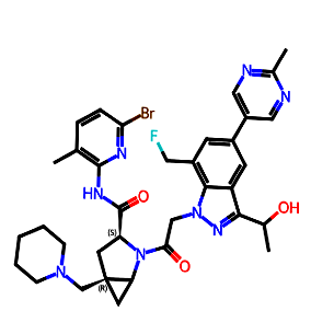 Cc1ncc(-c2cc(CF)c3c(c2)c(C(C)O)nn3CC(=O)N2C3C[C@]3(CN3CCCCC3)C[C@H]2C(=O)Nc2nc(Br)ccc2C)cn1